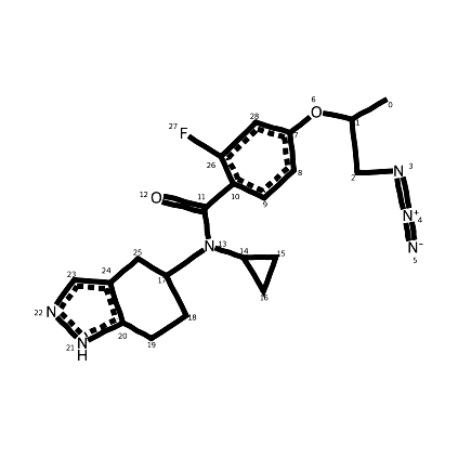 CC(CN=[N+]=[N-])Oc1ccc(C(=O)N(C2CC2)C2CCc3[nH]ncc3C2)c(F)c1